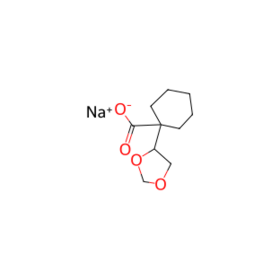 O=C([O-])C1(C2COCO2)CCCCC1.[Na+]